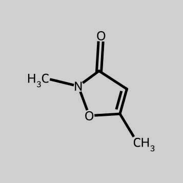 Cc1cc(=O)n(C)o1